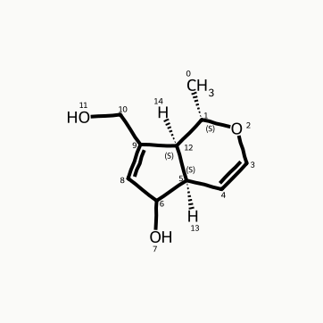 C[C@@H]1OC=C[C@H]2C(O)C=C(CO)[C@@H]12